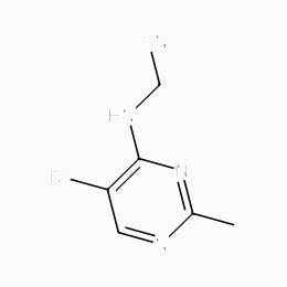 Cc1ncc(Br)c(NCC#N)n1